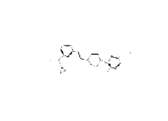 COc1ccc(F)c(C2CCC(CCc3cccc([C@@H](CC(=O)O)C4CC4)c3)CC2)c1